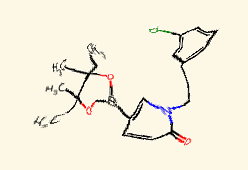 CC1(C)OB(c2ccc(=O)n(Cc3cccc(Cl)c3)c2)OC1(C)C